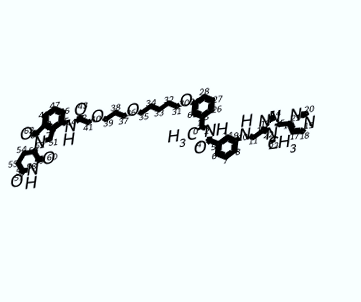 C[C@H](NC(=O)c1cccc(NCc2nnc(-c3ccncn3)n2C)c1)c1cccc(OCCCCCOCCCOCC(=O)Nc2cccc3c2CN(C2CCC(=O)NC2=O)C3=O)c1